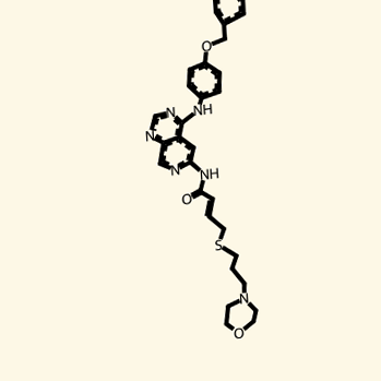 O=C(C=CCSCCCN1CCOCC1)Nc1cc2c(Nc3ccc(OCc4ccccc4)cc3)ncnc2cn1